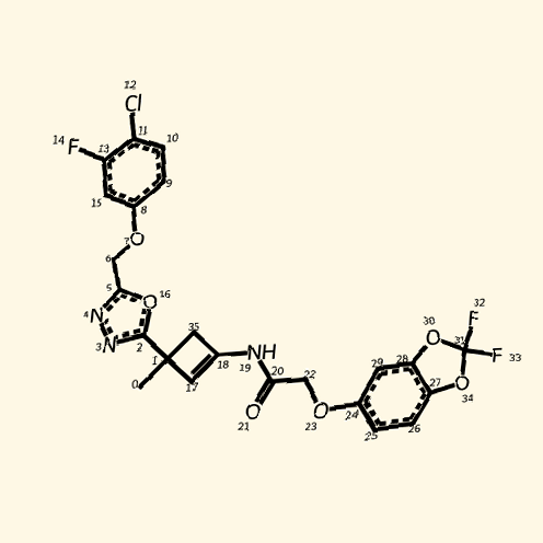 CC1(c2nnc(COc3ccc(Cl)c(F)c3)o2)C=C(NC(=O)COc2ccc3c(c2)OC(F)(F)O3)C1